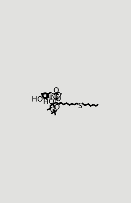 CCCCCCCSCCCCCC/C=C/[C@H](C(=O)N[C@@H](Cc1ccc(O)cc1)C(=O)OC)[C@@](O)(CCC)C(=O)OC(C)(C)C